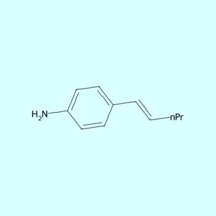 [CH2]CCC=Cc1ccc(N)cc1